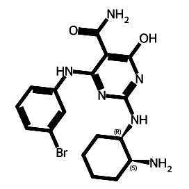 NC(=O)c1c(O)nc(N[C@@H]2CCCC[C@@H]2N)nc1Nc1cccc(Br)c1